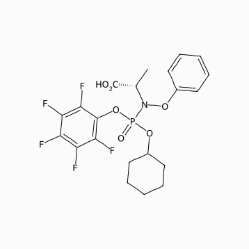 C[C@@H](C(=O)O)N(Oc1ccccc1)P(=O)(Oc1c(F)c(F)c(F)c(F)c1F)OC1CCCCC1